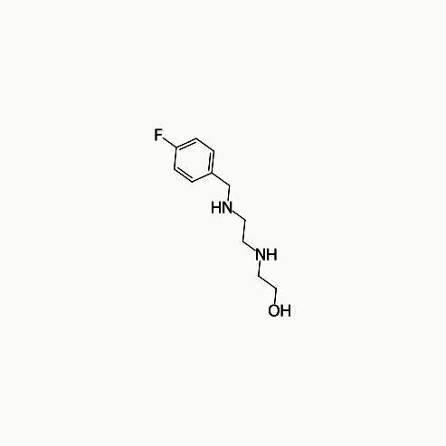 OCCNCCNCc1ccc(F)cc1